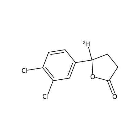 [2H]C1(c2ccc(Cl)c(Cl)c2)CCC(=O)O1